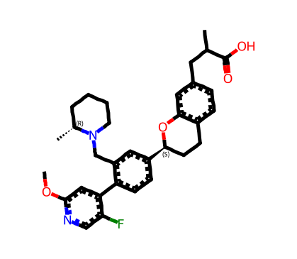 COc1cc(-c2ccc([C@@H]3CCc4ccc(CC(C)C(=O)O)cc4O3)cc2CN2CCCC[C@H]2C)c(F)cn1